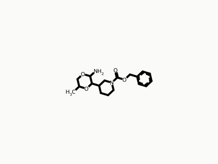 CC1COC(N)C(C2CCCN(C(=O)OCc3ccccc3)C2)O1